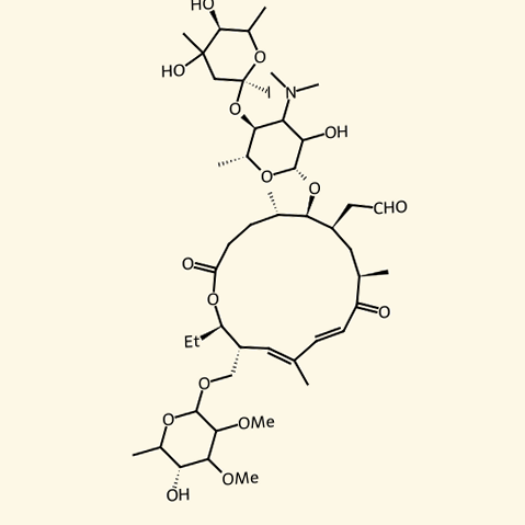 CC[C@H]1OC(=O)CC[C@H](C)[C@@H](O[C@@H]2O[C@H](C)[C@@H](O[C@@]3(I)CC(C)(O)[C@@H](O)C(C)O3)C(N(C)C)C2O)[C@@H](CC=O)C[C@@H](C)C(=O)/C=C/C(C)=C/[C@@H]1COC1OC(C)[C@@H](O)C(OC)C1OC